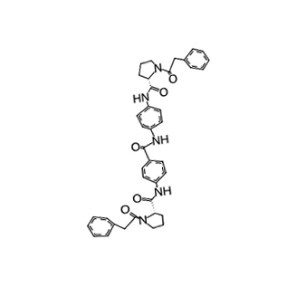 O=C(Nc1ccc(NC(=O)[C@@H]2CCCN2C(=O)Cc2ccccc2)cc1)c1ccc(NC(=O)[C@@H]2CCCN2C(=O)Cc2ccccc2)cc1